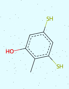 Cc1c(O)cc(S)cc1S